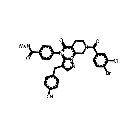 CNC(=O)c1ccc(-n2c(=O)c3c(n4ncc(Cc5ccc(C#N)cc5)c24)CN(C(=O)c2ccc(Br)c(Cl)c2)CC3)cc1